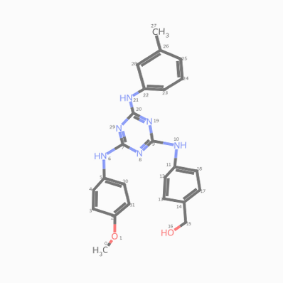 COc1ccc(Nc2nc(Nc3ccc(CO)cc3)nc(Nc3cccc(C)c3)n2)cc1